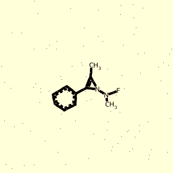 CC1=C(c2ccccc2)N1N(C)F